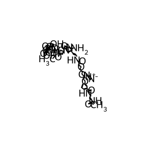 CCOC1CC(n2cc(C#CCNC(=O)COCCOC(COc3cccc(C(=O)NCCNC(C)=O)c3)N=[N+]=[N-])c(N)nc2=O)O[C@H]1COP(=O)(O)OP(=O)(O)OP(=O)(O)O